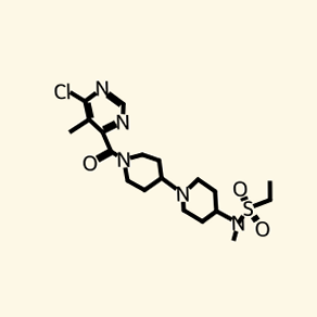 CCS(=O)(=O)N(C)C1CCN(C2CCN(C(=O)c3ncnc(Cl)c3C)CC2)CC1